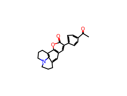 CC(=O)c1ccc(-c2cc3cc4c5c(c3oc2=O)CCCN5CCC4)cc1